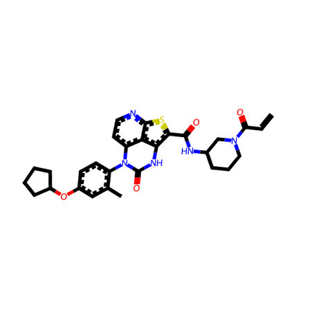 C=CC(=O)N1CCCC(NC(=O)c2sc3nccc4c3c2NC(=O)N4c2ccc(OC3CCCC3)cc2C)C1